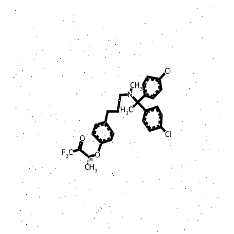 C[C@@H](Oc1ccc(CCCN(C)C(C)(c2ccc(Cl)cc2)c2ccc(Cl)cc2)cc1)C(=O)C(F)(F)F